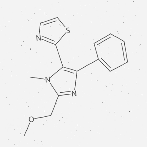 COCc1nc(-c2ccccc2)c(-c2nccs2)n1C